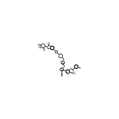 C[C@@H](Oc1cc(-c2c(C#N)ncn2Cc2cnn(CC3CCN(C4CN(c5ccc6c(c5)CN(C5CCC(=O)NC5=O)C6=O)C4)CC3)c2)cnc1N)c1cccc(F)c1